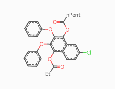 CCCCCC(=O)Oc1c(Oc2ccccc2)c(Oc2ccccc2)c(OC(=O)CC)c2ccc(Cl)cc12